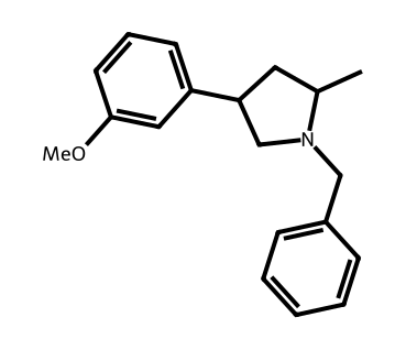 COc1cccc(C2CC(C)N(Cc3ccccc3)C2)c1